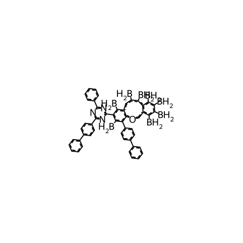 Bc1cc2c(B)c(-c3nc(-c4ccccc4)nc(-c4ccc(-c5ccccc5)cc4)n3)c(B)c(-c3ccc(-c4ccccc4)cc3)c2occ2c(B)c(B)c(B)c(B)c2c1B